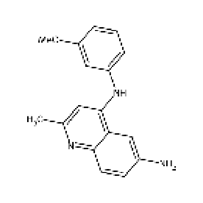 COc1cccc(Nc2cc(C)nc3ccc(N)cc23)c1